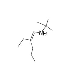 CCC/C(=C\NC(C)(C)C)CC